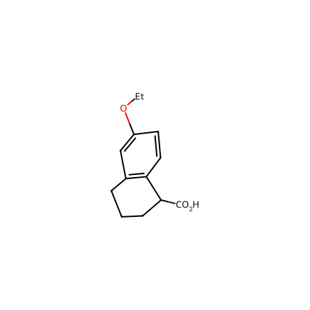 CCOc1ccc2c(c1)CCCC2C(=O)O